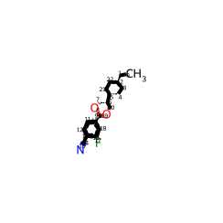 CC[C@H]1CC[C@H]([C@H]2CO[C@H](c3ccc(C#N)c(F)c3)OC2)CC1